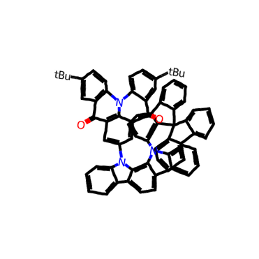 CC(C)(C)c1ccc2c(c1)c(=O)c1cc(-n3c4ccccc4c4ccc5c6ccccc6n(-c6cccc7c6C6(c8ccccc8-c8ccccc86)c6ccccc6-7)c5c43)cc3c(=O)c4cc(C(C)(C)C)ccc4n2c13